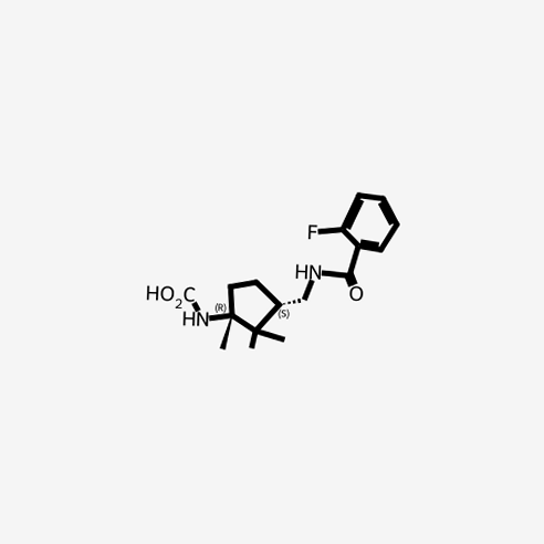 CC1(C)[C@@H](CNC(=O)c2ccccc2F)CC[C@@]1(C)NC(=O)O